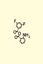 Nc1ccccc1C(=O)OC(=O)c1cc(F)cc(F)c1